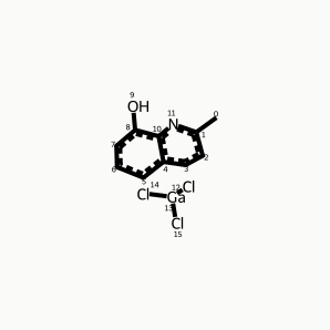 Cc1ccc2cccc(O)c2n1.[Cl][Ga]([Cl])[Cl]